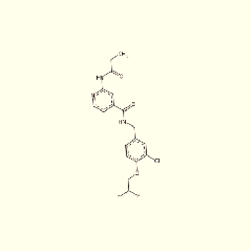 CCC(=O)Nc1cc(C(=O)NCc2ccc(OCC(F)F)c(Cl)c2)ccn1